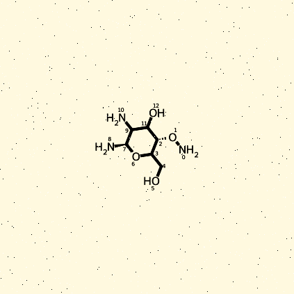 NO[C@@H]1C(CO)O[C@@H](N)C(N)C1O